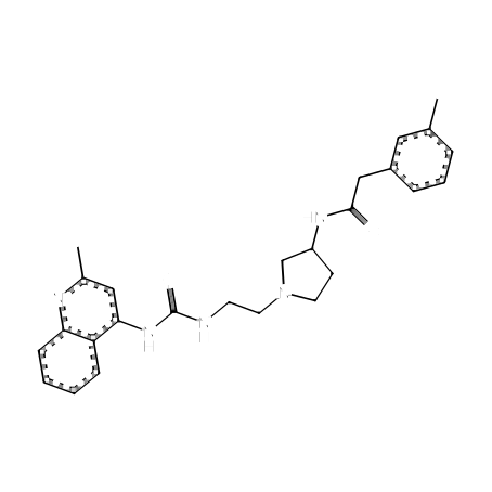 Cc1cccc(CC(=O)NC2CCN(CCNC(=O)Nc3cc(C)nc4ccccc34)C2)c1